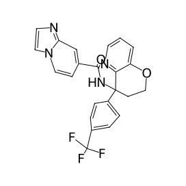 O=C(NC1(c2ccc(C(F)(F)F)cc2)CCOc2cccnc21)c1ccn2ccnc2c1